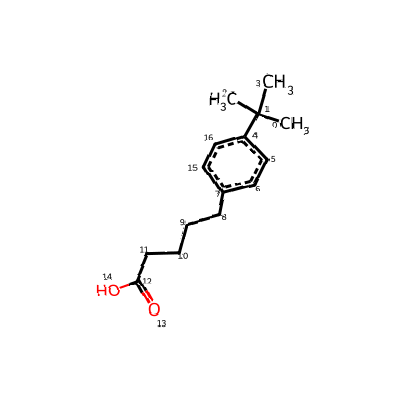 CC(C)(C)c1ccc(CCCCC(=O)O)cc1